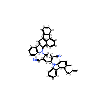 C=C/C=C\c1c(C)ccc2c1c1ccccc1n2C(/C=C(/C#N)C(=C)n1c2c#cccc2c2cc3c4c(cccc4c21)C1CC=CC=C31)=C(/C)C#N